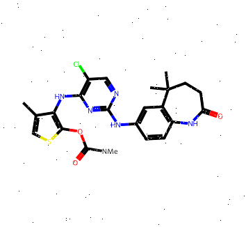 CNC(=O)Oc1scc(C)c1Nc1nc(Nc2ccc3c(c2)C(C)(C)CCC(=O)N3)ncc1Cl